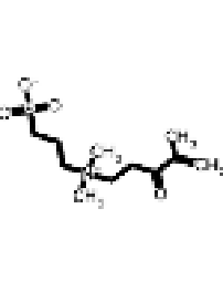 C=C(C)C(=O)CC[N+](C)(C)CCCS(=O)(=O)[O-]